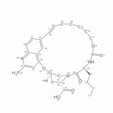 CCCC[C@@H]1NC(=O)OCCCCC/C=C/c2ccc3nc(P)cc(c3c2)O[C@@H]2C[C@@H](C(=O)O)N(C2)C1=O